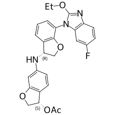 CCOc1nc2ccc(F)cc2n1-c1cccc2c1OC[C@@H]2Nc1ccc2c(c1)OC[C@H]2OC(C)=O